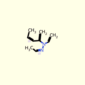 C=CN(/N=C\C)C(=C)/C=C\C